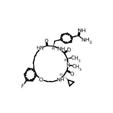 C[C@@H]1C(=O)N[C@H](Cc2ccc(C(=N)N)cc2)C(=O)NCCCc2ccc(F)cc2OCCN[C@@H](C2CC2)C(=O)N1C